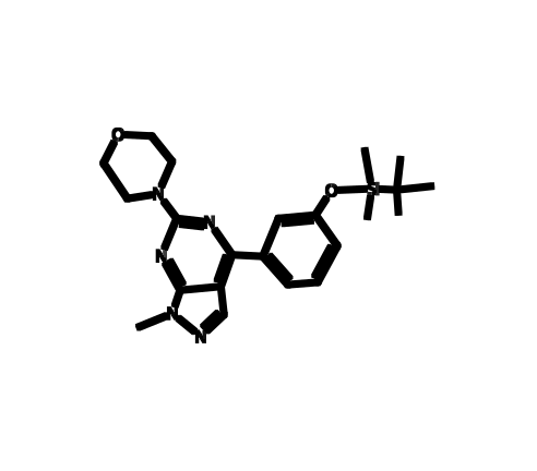 Cn1ncc2c(-c3cccc(O[Si](C)(C)C(C)(C)C)c3)nc(N3CCOCC3)nc21